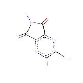 O=C1c2nc(O)c(O)nc2C(=O)N1I